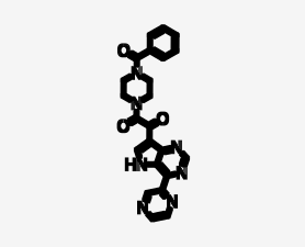 O=C(C(=O)N1CCN(C(=O)c2ccccc2)CC1)c1c[nH]c2c(-c3cnccn3)ncnc12